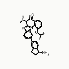 CCC(c1nc2ccc(-c3ccc4c(c3)CCC4N)cc2n1-c1c(C=O)cccc1OC(F)F)N(C)C